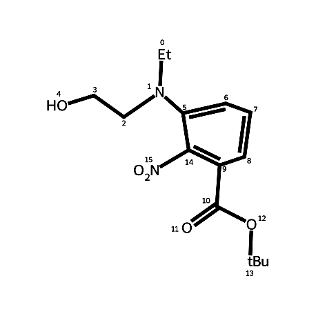 CCN(CCO)c1cccc(C(=O)OC(C)(C)C)c1[N+](=O)[O-]